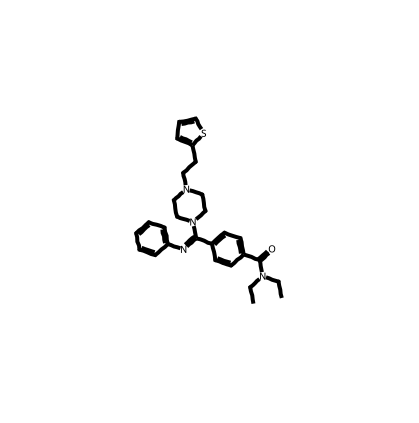 CCN(CC)C(=O)c1ccc(C(=Nc2ccccc2)N2CCN(CCc3cccs3)CC2)cc1